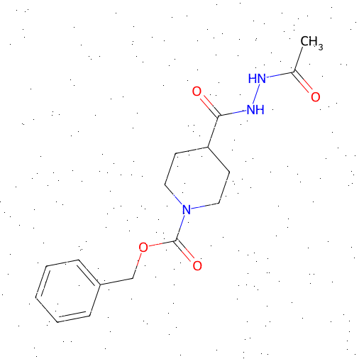 CC(=O)NNC(=O)C1CCN(C(=O)OCc2ccccc2)CC1